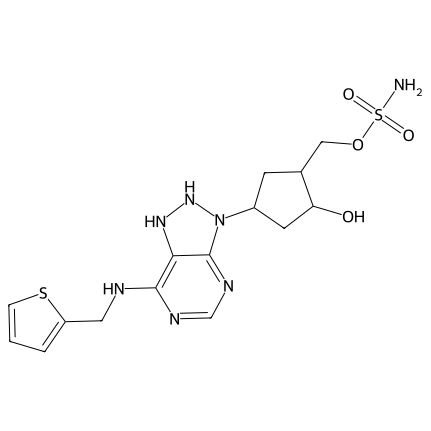 NS(=O)(=O)OCC1CC(N2NNc3c(NCc4cccs4)ncnc32)CC1O